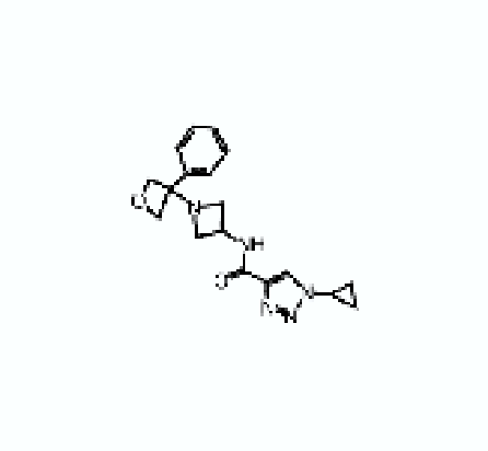 O=C(NC1CN(C2(c3ccccc3)COC2)C1)c1cn(C2CC2)nn1